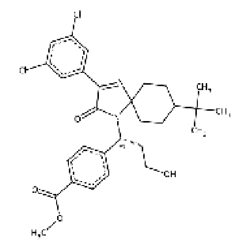 COC(=O)c1ccc([C@@H](CCO)N2C(=O)C(c3cc(Cl)cc(Cl)c3)=NC23CCC(C(C)(C)C)CC3)cc1